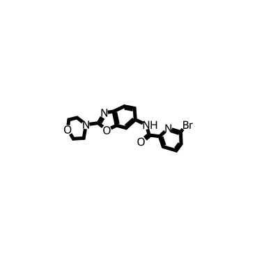 O=C(Nc1ccc2nc(N3CCOCC3)oc2c1)c1cccc(Br)n1